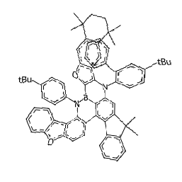 CC(C)(C)c1ccc(N2B3c4oc5cc6c(cc5c4N(c4ccc(C(C)(C)C)cc4-c4ccccc4)c4cc5c(c(c43)-c3ccc4oc7ccccc7c4c32)-c2ccccc2C5(C)C)C(C)(C)CCC6(C)C)cc1